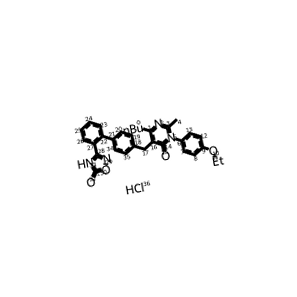 CCCCc1nc(C)n(-c2ccc(OCC)cc2)c(=O)c1Cc1ccc(-c2ccccc2-c2noc(=O)[nH]2)cc1.Cl